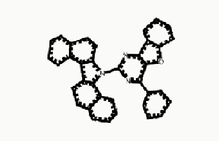 c1ccc(-c2nc(-n3c4ccc5ccccc5c4c4ccc5ccccc5c43)nc3c2oc2ccccc23)cc1